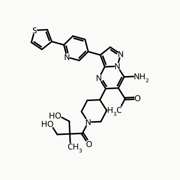 CC(=O)c1c(C2CCN(C(=O)C(C)(CO)CO)CC2)nc2c(-c3ccc(-c4ccsc4)nc3)cnn2c1N